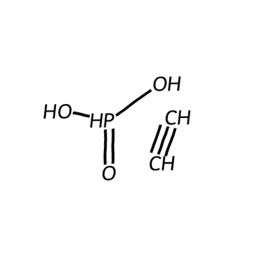 C#C.O=[PH](O)O